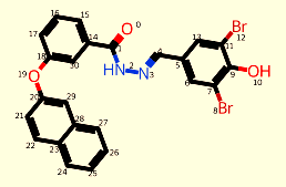 O=C(N/N=C/c1cc(Br)c(O)c(Br)c1)c1cccc(Oc2ccc3ccccc3c2)c1